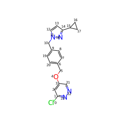 Clc1cc(OCc2ccc(Cn3ccc(C4CC4)n3)cc2)cnn1